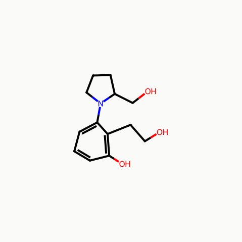 OCCc1c(O)cccc1N1CCCC1CO